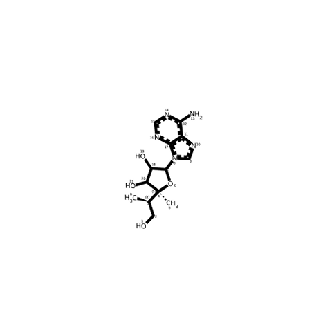 C[C@H](CO)[C@]1(C)OC(n2cnc3c(N)ncnc32)C(O)C1O